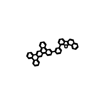 c1cc(-c2ccc3c(c2)c2ccccc2c2cc4c5ccccc5c5ccccc5c4cc32)cc(-c2cccc3c2oc2c4ccccc4ccc32)c1